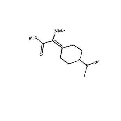 CNC(C(=O)OC)=C1CCN(B(C)O)CC1